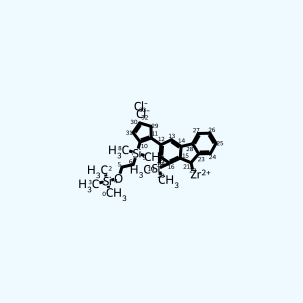 C[Si](C)(C)OCC[Si](C)(C)C1=C(c2cc3c(c4c2[Si]4(C)C)[CH]([Zr+2])c2ccccc2-3)CC=C1.[Cl-].[Cl-]